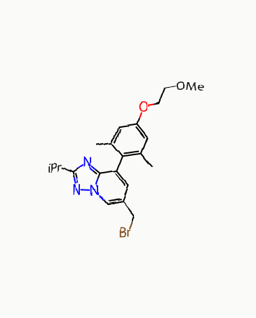 COCCOc1cc(C)c(-c2cc(CBr)cn3nc(C(C)C)nc23)c(C)c1